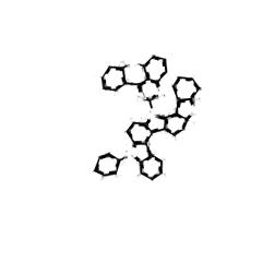 c1ccc(-n2c3ccccc3c3c4c5ccc6oc7ccccc7c6c5n(-c5nc6c7c(cccc7n5)Oc5ccccc5-6)c4ccc32)cc1